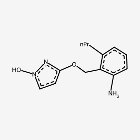 CCCc1cccc(N)c1COc1ccn(O)n1